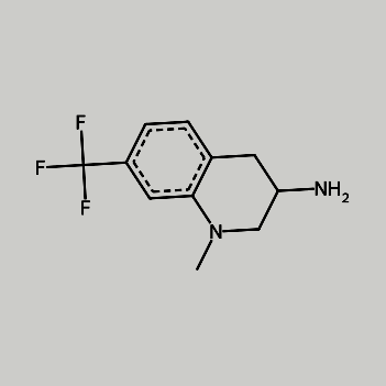 CN1CC(N)Cc2ccc(C(F)(F)F)cc21